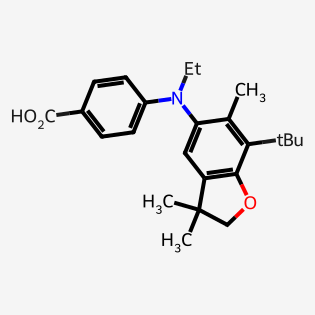 CCN(c1ccc(C(=O)O)cc1)c1cc2c(c(C(C)(C)C)c1C)OCC2(C)C